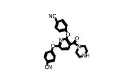 N#Cc1ccc(Oc2ccc(C(=O)N3CCNCC3)c(Oc3ccc(C#N)cc3)n2)cc1